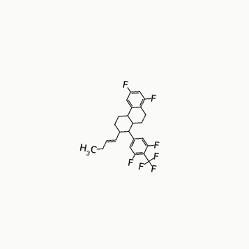 CCC=CC1CCC2c3cc(F)cc(F)c3CCC2C1c1cc(F)c(C(F)(F)F)c(F)c1